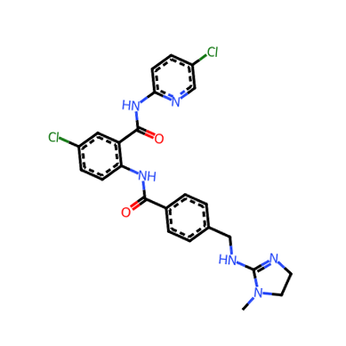 CN1CCN=C1NCc1ccc(C(=O)Nc2ccc(Cl)cc2C(=O)Nc2ccc(Cl)cn2)cc1